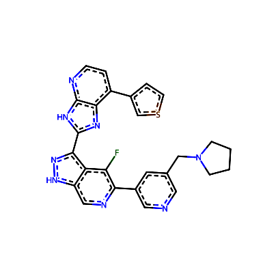 Fc1c(-c2cncc(CN3CCCC3)c2)ncc2[nH]nc(-c3nc4c(-c5ccsc5)ccnc4[nH]3)c12